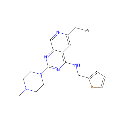 CC(C)Cc1cc2c(NCc3cccs3)nc(N3CCN(C)CC3)nc2cn1